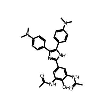 CC(=O)Nc1cc(-c2nc(-c3ccc(N(C)C)cc3)c(-c3ccc(N(C)C)cc3)[nH]2)cc(NC(C)=O)c1O